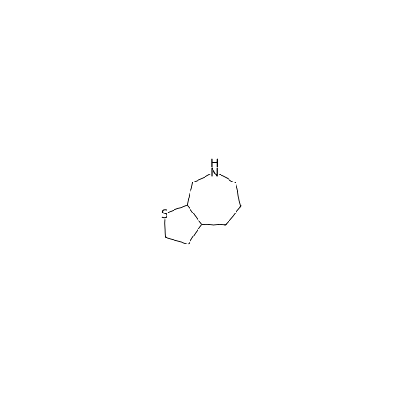 C1CNCC2SCCC2C1